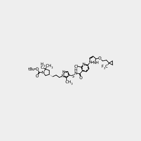 Cc1c(SNC(=O)c2ccc(N3C=CC(OCCC4(C(F)(F)F)CC4)N3)nc2Cl)cnn1CCC[C@@H]1CN(C(=O)OC(C)(C)C)C(C)(C)C1